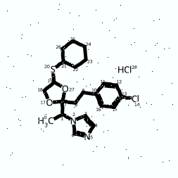 CC(n1ccnc1)C1(CCc2ccc(Cl)cc2)OCC(SC2CCCCC2)O1.Cl